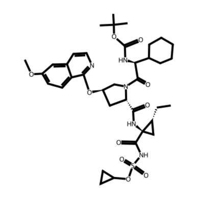 CC[C@@H]1C[C@]1(NC(=O)[C@@H]1C[C@@H](Oc2nccc3cc(OC)ccc23)CN1C(=O)[C@@H](NC(=O)OC(C)(C)C)C1CCCCC1)C(=O)NS(=O)(=O)OC1CC1